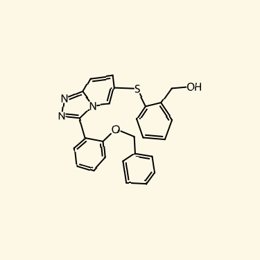 OCc1ccccc1Sc1ccc2nnc(-c3ccccc3OCc3ccccc3)n2c1